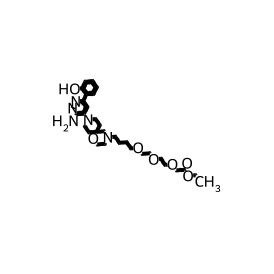 CCOC(=O)COCCOCCOCCCCN1CCOC2(CCN(c3cc(-c4ccccc4O)nnc3N)CC2)C1